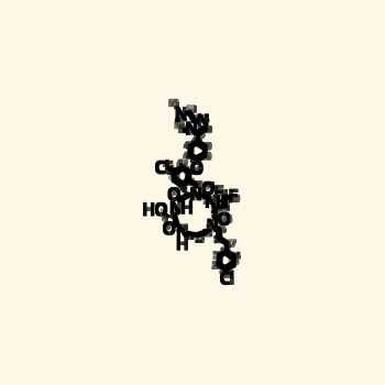 C[C@H]1C(=O)N[C@@H](CO)C(=O)NCCCN(/C=C/Cc2ccc(Cl)cc2)C(=O)[C@H](CC(F)F)NC(=O)N1Cc1ccc(Cl)cc1Oc1ccc(-c2cnc(CN(C)C)n2C)cc1